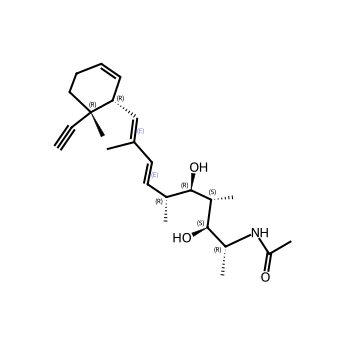 C#C[C@]1(C)CCC=C[C@@H]1/C=C(C)/C=C/[C@@H](C)[C@@H](O)[C@H](C)[C@H](O)[C@@H](C)NC(C)=O